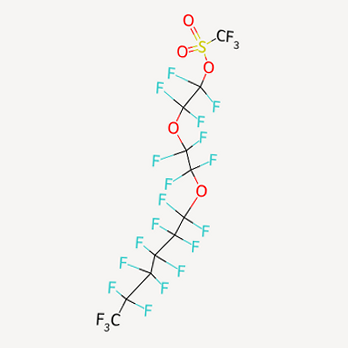 O=S(=O)(OC(F)(F)C(F)(F)OC(F)(F)C(F)(F)OC(F)(F)C(F)(F)C(F)(F)C(F)(F)C(F)(F)C(F)(F)F)C(F)(F)F